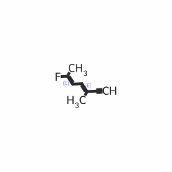 C#C/C(C)=C/C=C(\C)F